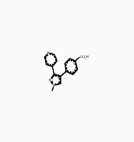 Cn1cc(-c2ccc(C(=O)O)cc2)c(-c2ccncc2)n1